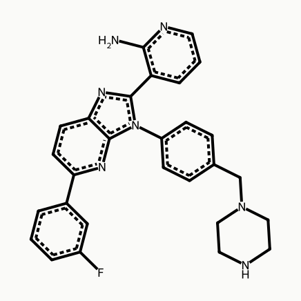 Nc1ncccc1-c1nc2ccc(-c3cccc(F)c3)nc2n1-c1ccc(CN2CCNCC2)cc1